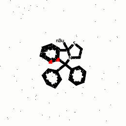 CCCCC1(c2ccccc2)SCCN1C(c1ccccc1)(c1ccccc1)c1ccccc1